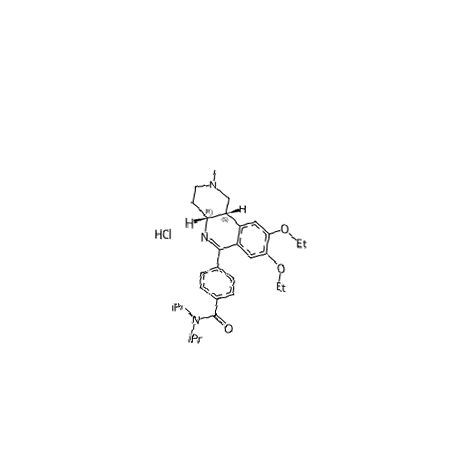 CCOc1cc2c(cc1OCC)[C@H]1CN(C)CC[C@H]1N=C2c1ccc(C(=O)N(C(C)C)C(C)C)cc1.Cl